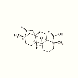 C[C@@]12CC[C@@H]3[C@@](CCC4[C@](C)(C(=O)O)CCC[C@]43C)(CC1=O)C2